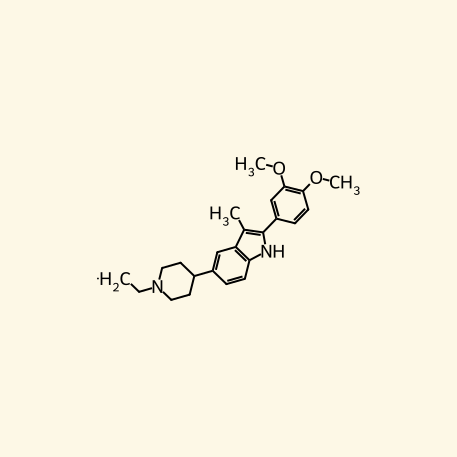 [CH2]CN1CCC(c2ccc3[nH]c(-c4ccc(OC)c(OC)c4)c(C)c3c2)CC1